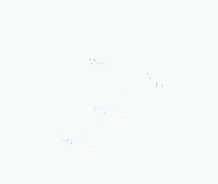 CCN(c1cc(OC)cc(C(=O)NCc2c(C)cc(C)[nH]c2=O)c1C)C1CCCCC1